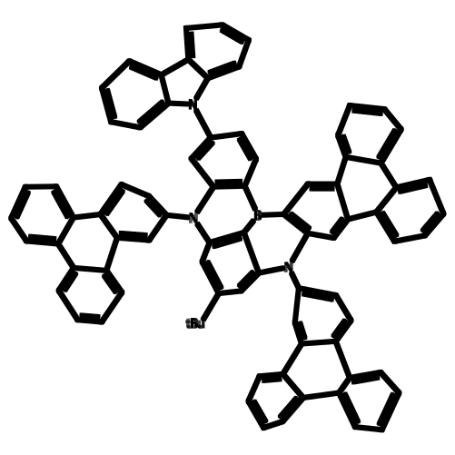 CC(C)(C)c1cc2c3c(c1)N(c1ccc4c5ccccc5c5ccccc5c4c1)c1cc4c5ccccc5c5ccccc5c4cc1B3c1ccc(-n3c4ccccc4c4ccccc43)cc1N2c1ccc2c3ccccc3c3ccccc3c2c1